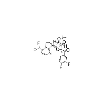 CC1(C)O[C@@H]2[C@H](O1)[C@@H](C(=O)c1ccc(F)c(F)c1)O[C@H]2n1ccc2c(C(F)F)ncnc21